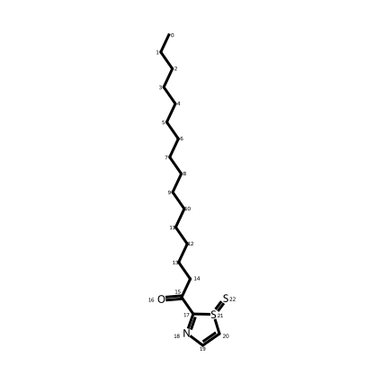 CCCCCCCCCCCCCCCC(=O)C1=NC=CS1=S